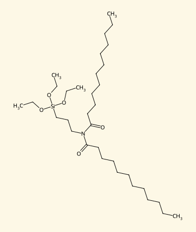 CCCCCCCCCCCC(=O)N(CCC[Si](OCC)(OCC)OCC)C(=O)CCCCCCCCCCC